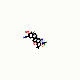 C[C@@H]1C(O)=C(C#N)C[C@]2(C)C3=CC(=O)C4[C@H]5CC(C)(C)CC[C@]5(NC(=O)C(C)(F)F)CC[C@@]4(C)[C@]3(C)CC[C@@H]12